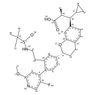 COc1cc(-c2ccc([C@H]3CCc4ccc([C@H](C5CC5)[C@H](C)C(=O)O)cc4O3)cc2CCN[S+]([O-])C(C)(C)C)c(F)cn1